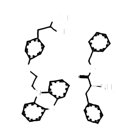 CCOC(Cc1ccc(OCCN2c3ccccc3Oc3ccccc32)cc1)C(=O)O.N[C@@H](Cc1ccccc1)C(=O)OCc1ccccc1